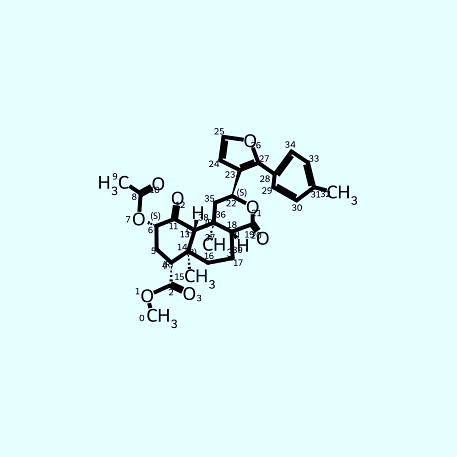 COC(=O)[C@@H]1C[C@H](OC(C)=O)C(=O)[C@H]2[C@@]1(C)CC[C@H]1C(=O)O[C@H](c3ccoc3-c3ccc(C)cc3)C[C@]21C